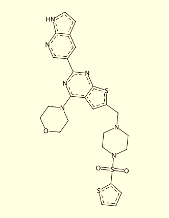 O=S(=O)(c1cccs1)N1CCN(Cc2cc3c(N4CCOCC4)nc(-c4cnc5[nH]ccc5c4)nc3s2)CC1